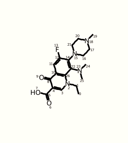 CCn1cc(C(=O)O)c(=O)c2cc(F)c(N3CCN(C)CC3)c(N(C)C)c21